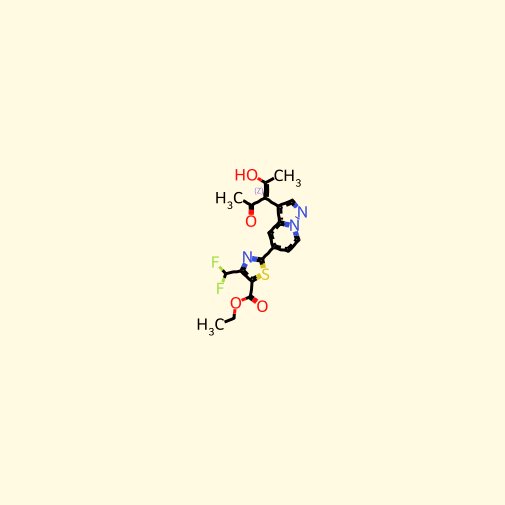 CCOC(=O)c1sc(-c2ccn3ncc(/C(C(C)=O)=C(\C)O)c3c2)nc1C(F)F